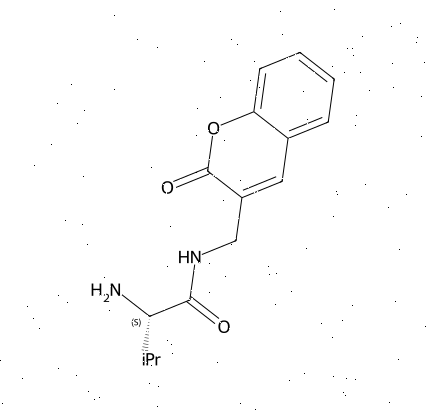 CC(C)[C@H](N)C(=O)NCc1cc2ccccc2oc1=O